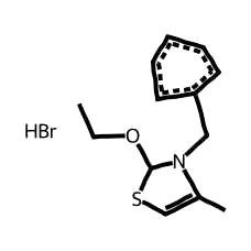 Br.CCOC1SC=C(C)N1Cc1ccccc1